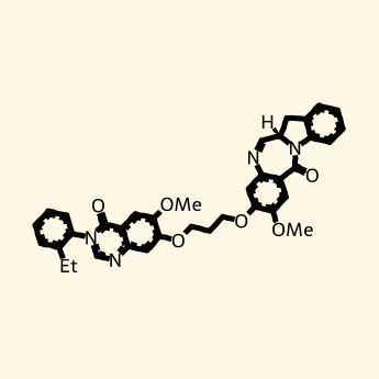 CCc1ccccc1-n1cnc2cc(OCCCOc3cc4c(cc3OC)C(=O)N3c5ccccc5C[C@H]3C=N4)c(OC)cc2c1=O